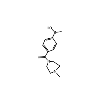 C=C(c1ccc(B(C)O)cc1)N1CCN(C)CC1